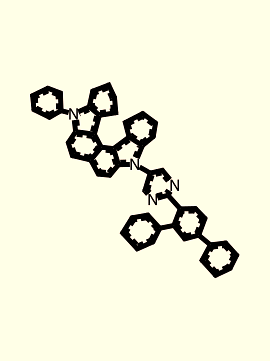 c1ccc(-c2ccc(-c3ncc(-n4c5ccccc5c5c6c(ccc7c6c6ccccc6n7-c6ccccc6)ccc54)cn3)c(-c3ccccc3)c2)cc1